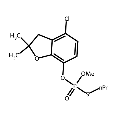 CCCSP(=O)(OC)Oc1ccc(Cl)c2c1OC(C)(C)C2